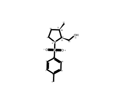 Cc1ccc(S(=O)(=O)N2CC[C@@H](C)[C@H]2CO)cc1